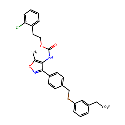 Cc1onc(-c2ccc(CSc3cccc(CC(=O)O)c3)cc2)c1NC(=O)OCCc1ccccc1Cl